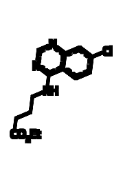 CCOC(=O)CCCNc1ncnc2cc(Cl)ccc12